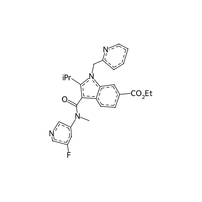 CCOC(=O)c1ccc2c(C(=O)N(C)c3cncc(F)c3)c(C(C)C)n(Cc3ccccn3)c2c1